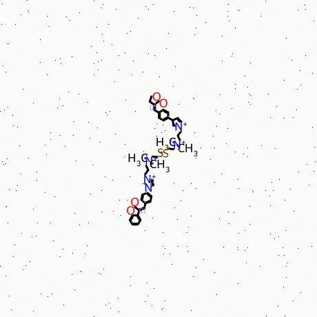 C[N+](C)(CCC[N+]1=CC(c2ccc(/C=C3/CCOC3=O)cc2)C=C1)CCSSCC[N+](C)(C)CCC[n+]1ccn(-c2ccc(/C=C3\C(=O)Oc4ccccc43)cc2)c1